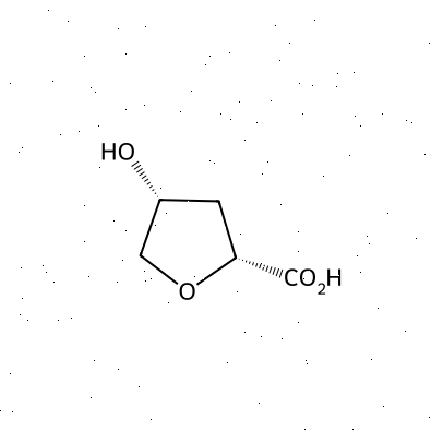 O=C(O)[C@H]1C[C@@H](O)CO1